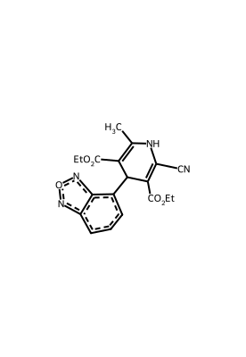 CCOC(=O)C1=C(C)NC(C#N)=C(C(=O)OCC)C1c1cccc2nonc12